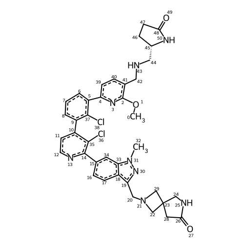 COc1nc(-c2cccc(-c3ccnc(-c4ccc5c(CN6CC7(CNC(=O)C7)C6)nn(C)c5c4)c3Cl)c2Cl)ccc1CNC[C@@H]1CCC(=O)N1